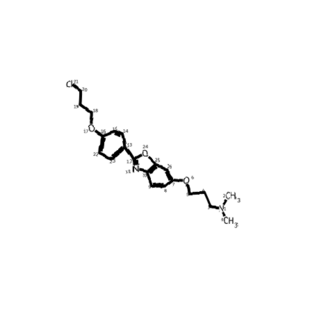 CN(C)CCCOc1ccc2nc(-c3ccc(OCCCCl)cc3)oc2c1